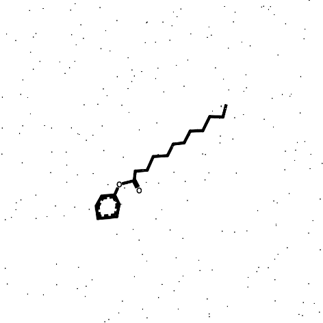 CCCCCCCCCCCC(=O)Oc1[c]cccc1